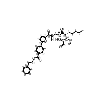 CCCCC[C@@H](C(=O)NCNC(=O)c1ccc(-c2ccc(C(=O)OCCc3ccccc3)cc2)o1)[C@@H](CC)N(O)C=O